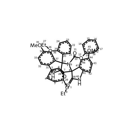 CCOc1ccccc1C1(N(C(=O)Oc2ccccc2)C2(c3ccccc3OCC)C(=O)Nc3ccc(OC)cc32)C(=O)Nc2ccc(OC)cc21